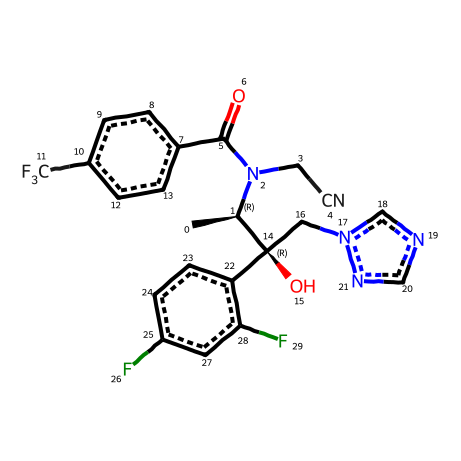 C[C@@H](N(CC#N)C(=O)c1ccc(C(F)(F)F)cc1)[C@](O)(Cn1cncn1)c1ccc(F)cc1F